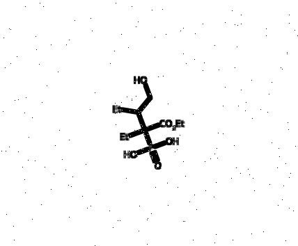 CCOC(=O)C(CC)(C(CC)CO)P(=O)(O)O